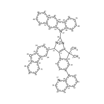 CC1(C)C2=C(c3ccc(-c4cccc5cccnc45)cc31)C(c1ccc3oc4ccccc4c3c1)N1C(n3c4ccccc4c4cc5ccccc5cc43)N21